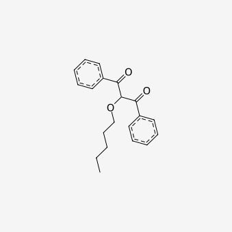 CCCCCOC(C(=O)c1ccccc1)C(=O)c1ccccc1